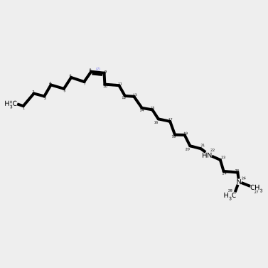 CCCCCCCC/C=C\CCCCCCCCCCCCNCCCN(C)C